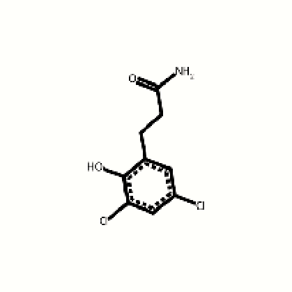 NC(=O)CCc1cc(Cl)cc(Cl)c1O